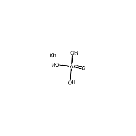 O=[As](O)(O)O.[KH]